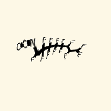 O=C=NC(F)C(F)(F)C(F)(F)C(F)(F)C(F)(F)C(F)C(F)C(F)F